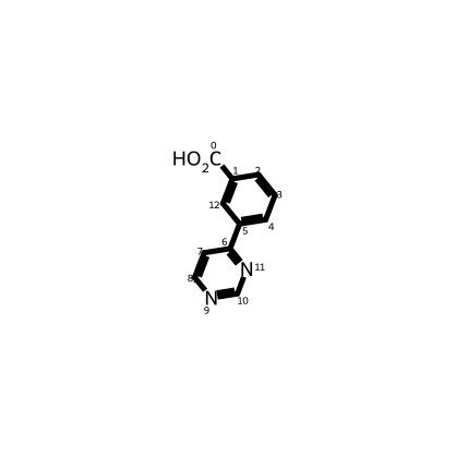 O=C(O)c1cccc(-c2c[c]ncn2)c1